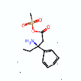 CC[C@](N)(CC(=O)OS(C)(=O)=O)c1ccccc1